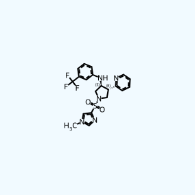 Cn1cnc(S(=O)(=O)N2C[C@@H](Nc3cccc(C(F)(F)F)c3)[C@H](c3ccccn3)C2)c1